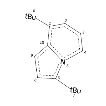 CC(C)(C)c1cccn2c(C(C)(C)C)ccc12